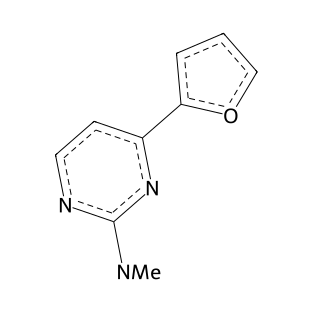 CNc1nccc(-c2ccco2)n1